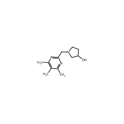 Cc1nc(CN2CCC(O)C2)nc(C)c1C